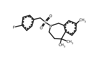 Cc1ccc2c(c1)CN(S(=O)(=O)Cc1ccc(F)cc1)CCC2(C)C